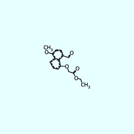 CCOC(=O)COc1cccc2c(OC)ccc(C=O)c12